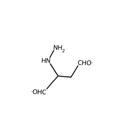 NNC([C]=O)C[C]=O